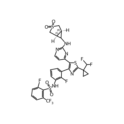 O=S1(=O)C[C@@H]2C(Nc3nccc(-c4sc(C5(C(F)F)CC5)nc4-c4cccc(NS(=O)(=O)c5c(F)cccc5C(F)(F)F)c4F)n3)[C@@H]2C1